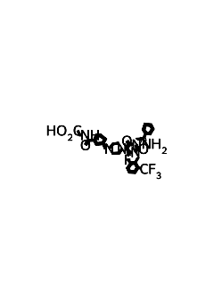 Cc1c(N2CCN(Cc3cccc(C(=O)NCC(=O)O)c3)CC2)c(=O)n(C[C@H](N)c2ccccc2)c(=O)n1Cc1c(F)cccc1C(F)(F)F